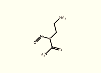 NCCN(N=O)C(N)=O